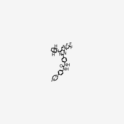 CN1CCN(c2ccc(NC(=O)Nc3ccc(-c4nc(N5C[C@H]6CC[C@@H](C5)O6)c5cnn(CC(F)(F)F)c5n4)cc3)cc2)CC1